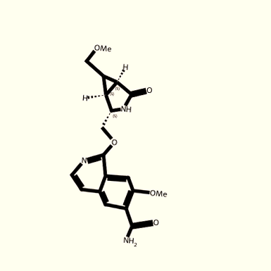 COCC1[C@H]2[C@@H]1C(=O)N[C@@H]2COc1nccc2cc(C(N)=O)c(OC)cc12